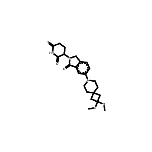 COC1(OC)CC2(CCN(c3ccc4c(c3)C(=O)N(C3CCC(=O)NC3=O)C4)CC2)C1